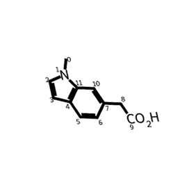 Cn1ccc2ccc(CC(=O)O)cc21